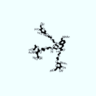 CC(=O)NCc1ccc(CC(C(=O)NCCOCCOC2OC(CO)C(O)C(O)C2NC(C)=O)N(CC(=O)NCCOCCOC(OC(C)CO)C(NC(C)=O)C(O)O)CC(=O)NCCOCCOC2(NC(C)=O)COC(CO)C(O)C2O)cc1